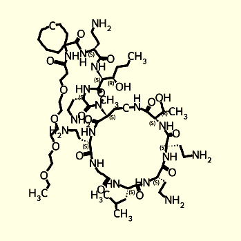 CCC[C@@H](O)[C@H](NC(=O)[C@H](CCN)NC(=O)C1(NC(=O)CCOCCOCCOCCOCC)CCCCCCC1)C(=O)N[C@@H](CCN)C(=O)N(C)[C@H]1CCNC(=O)[C@H]([C@@H](C)O)NC(=O)[C@H](CCN)NC(=O)[C@H](CCN)NC(=O)[C@H](CC(C)C)NC(=O)CNC(=O)[C@H](CCN)NC1=O